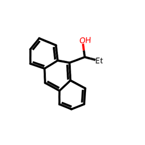 CCC(O)c1c2ccccc2cc2ccccc12